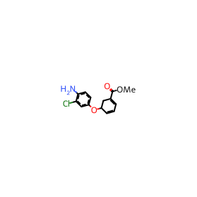 COC(=O)C1=CC=CC(Oc2ccc(N)c(Cl)c2)C1